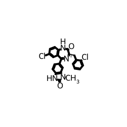 Cn1c(=O)[nH]c2ccc(C3=N[C@H](Cc4ccccc4Cl)C(=O)Nc4ccc(Cl)cc43)cc21